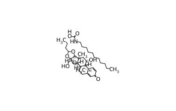 CCCC1O[C@@H]2C[C@H]3[C@@H]4CCC5=CC(=O)C=C[C@]5(C)[C@H]4[C@@H](O)C[C@]3(C)[C@]2(C(=O)CO)O1.CCCCCCCCCCCNC(=O)O